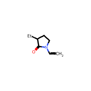 C=CN1CCC(CC)C1=O